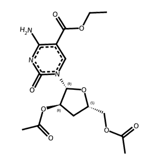 CCOC(=O)c1cn([C@@H]2O[C@H](COC(C)=O)C[C@H]2OC(C)=O)c(=O)nc1N